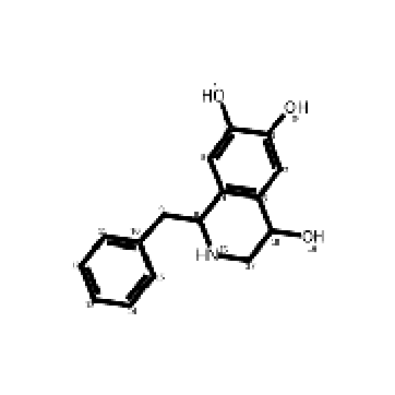 Oc1cc2c(cc1O)C(Cc1ccccc1)NCC2O